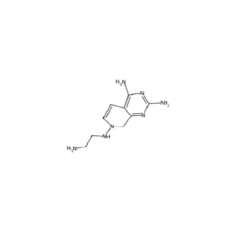 NCCNN1C=Cc2c(N)nc(N)nc2C1